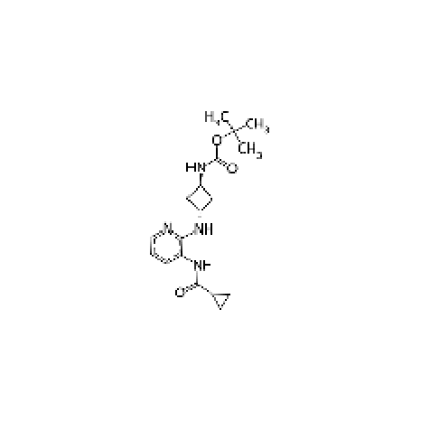 CC(C)(C)OC(=O)N[C@H]1C[C@H](Nc2ncccc2NC(=O)C2CC2)C1